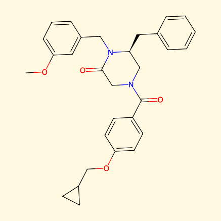 COc1cccc(CN2C(=O)CN(C(=O)c3ccc(OCC4CC4)cc3)C[C@@H]2Cc2ccccc2)c1